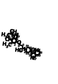 Cc1cc(OCC[C@H](O)N2CCC(O)(c3cncc4ccccc34)CC2)c2ccn(C(C)C)c2c1Cl